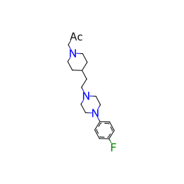 CC(=O)CN1CCC(CCN2CCN(c3ccc(F)cc3)CC2)CC1